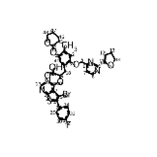 Cc1cc(OCc2ccnc([C@@H]3CCCO3)n2)c(CC(Oc2ncnc3sc(-c4ccc(F)cc4)c(Br)c23)C(=O)O)cc1OC1CCCCO1